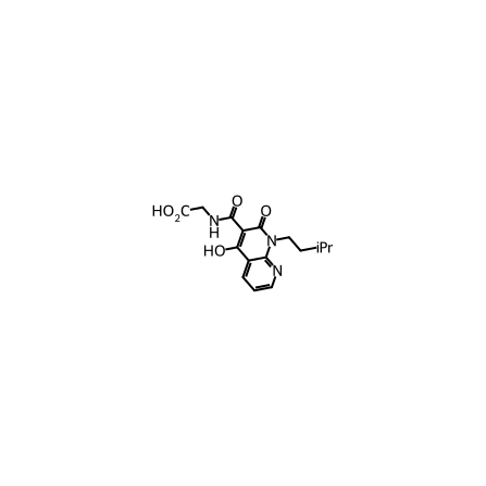 CC(C)CCn1c(=O)c(C(=O)NCC(=O)O)c(O)c2cccnc21